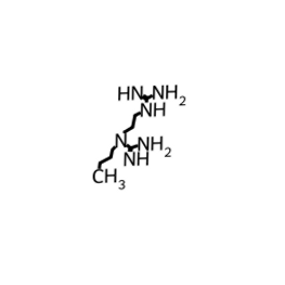 CCCCN(CCCNC(=N)N)C(=N)N